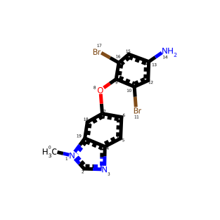 Cn1cnc2ccc(Oc3c(Br)cc(N)cc3Br)cc21